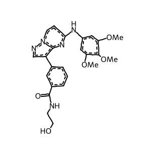 COc1cc(Nc2ccn3ncc(-c4cccc(C(=O)NCCO)c4)c3n2)cc(OC)c1OC